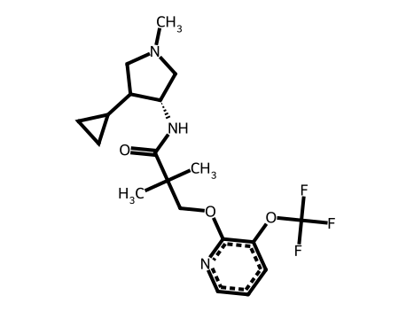 CN1CC(C2CC2)[C@@H](NC(=O)C(C)(C)COc2ncccc2OC(F)(F)F)C1